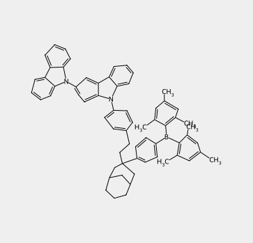 Cc1cc(C)c(B(c2ccc(C3(CCc4ccc(-n5c6ccccc6c6cc(-n7c8ccccc8c8ccccc87)ccc65)cc4)CC4CCCC(C4)C3)cc2)c2c(C)cc(C)cc2C)c(C)c1